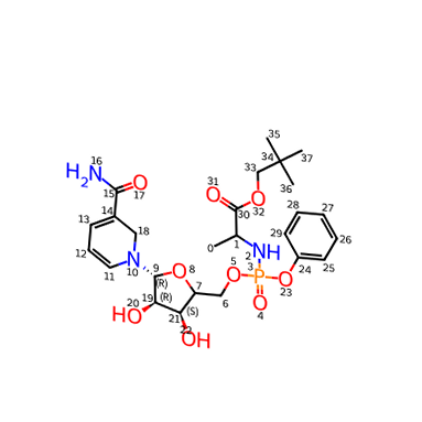 CC(NP(=O)(OCC1O[C@@H](N2C=CC=C(C(N)=O)C2)[C@H](O)[C@@H]1O)Oc1ccccc1)C(=O)OCC(C)(C)C